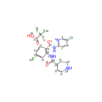 O=C(Nc1ccc(Cl)cn1)c1ccc(F)cc1NC(=O)C1CCNCC1.O=C(O)C(F)(F)F